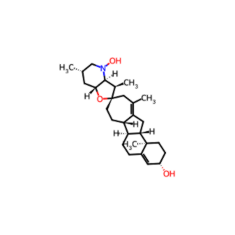 CC1=C2C[C@H]3[C@@H](CCC4=C[C@@H](O)CC[C@@]43C)[C@@H]2CC[C@@]2(C1)O[C@@H]1C[C@H](C)CN(O)[C@H]1[C@H]2C